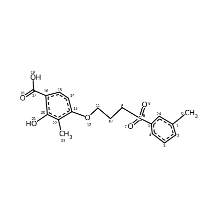 Cc1cccc(S(=O)(=O)CCCOc2ccc(C(=O)O)c(O)c2C)c1